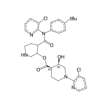 CC(C)(C)c1ccc(N(C(=O)C2CCNCC2OC(=O)[C@@H]2CCN(c3ncccc3Cl)C[C@@H]2O)c2ncccc2Cl)cc1